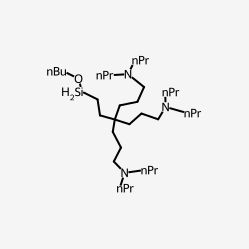 CCCCO[SiH2]CCC(CCCN(CCC)CCC)(CCCN(CCC)CCC)CCCN(CCC)CCC